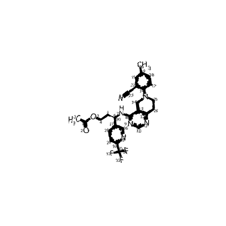 CC(=O)OCC[C@@H](Nc1ncnc2c1CN(c1ccc(C)cc1C#N)CC2)c1ccc(C(F)(F)F)nc1